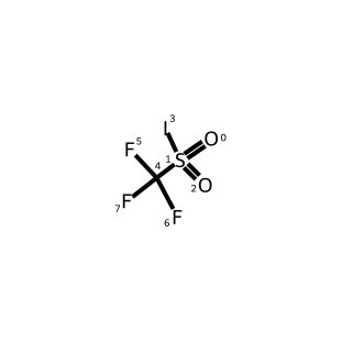 O=S(=O)(I)C(F)(F)F